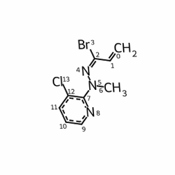 C=C/C(Br)=N\N(C)c1ncccc1Cl